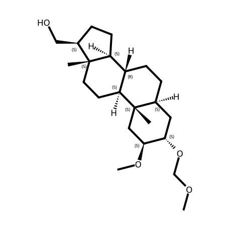 COCO[C@H]1C[C@@H]2CC[C@@H]3[C@H](CC[C@]4(C)[C@@H](CO)CC[C@@H]34)[C@@]2(C)C[C@@H]1OC